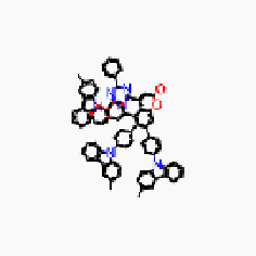 Cc1ccc2c(c1)c1ccccc1n2-c1ccc(-c2cc3oc(=O)cc(-c4nc(-c5ccccc5)nc(-c5ccccc5)n4)c3c(-c3ccc(-n4c5ccccc5c5cc(C)ccc54)cc3)c2-c2ccc(-n3c4ccccc4c4cc(C)ccc43)cc2)cc1